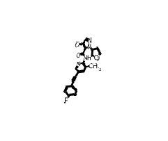 Cc1cc(C#Cc2ccc(F)cc2)cnc1NC(=O)c1c(Cl)cnn1C1CCOC1